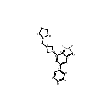 c1cc(-c2cc(N3CC(CN4CCCC4)C3)c3nonc3c2)ccn1